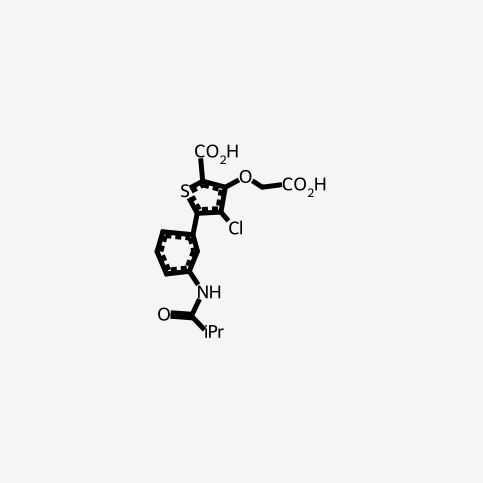 CC(C)C(=O)Nc1cccc(-c2sc(C(=O)O)c(OCC(=O)O)c2Cl)c1